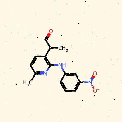 Cc1ccc(C(C)C=O)c(Nc2cccc([N+](=O)[O-])c2)n1